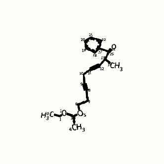 CCOC(C)OCCC#CCC#CC(C)C(=O)c1ccccc1